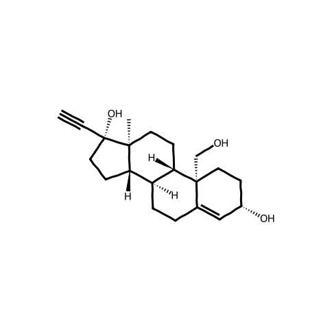 C#C[C@]1(O)CC[C@H]2[C@@H]3CCC4=C[C@@H](O)CC[C@]4(CO)[C@H]3CC[C@@]21C